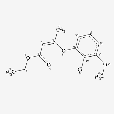 CCOC(=O)/C=C(/C)Oc1cccc(OC)c1Cl